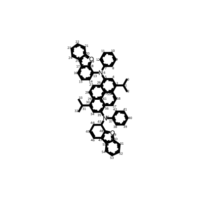 CC(C)c1cc(N(c2ccccc2)c2cccc3c2oc2ccccc23)c2ccc3c(C(C)C)cc(N(c4ccccc4)C4CC=Cc5c4oc4ccccc54)c4ccc1c2c34